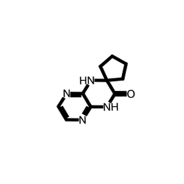 O=C1Nc2nccnc2NC12CCCC2